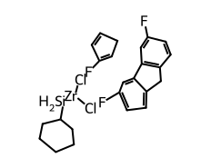 FC1=CCC=C1.Fc1ccc2c(c1)-c1cc(F)ccc1C2.[Cl][Zr]([Cl])[SiH2]C1CCCCC1